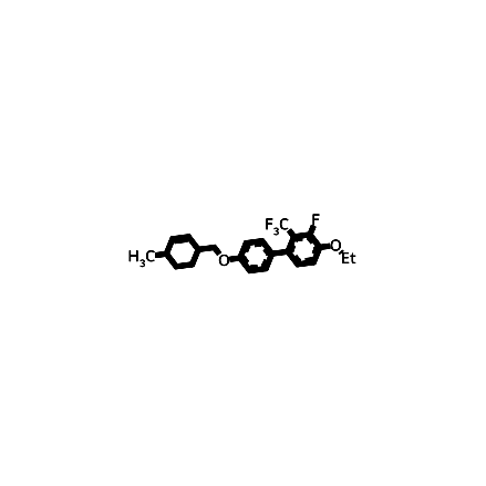 CCOc1ccc(-c2ccc(OCC3C=CC(C)CC3)cc2)c(C(F)(F)F)c1F